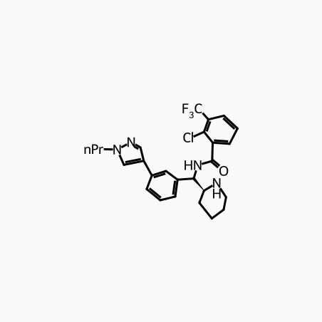 CCCn1cc(-c2cccc(C(NC(=O)c3cccc(C(F)(F)F)c3Cl)[C@@H]3CCCCN3)c2)cn1